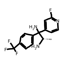 C[C@H](N)C(N)(c1ccc(C(F)(F)F)cc1)c1ccnc(F)c1